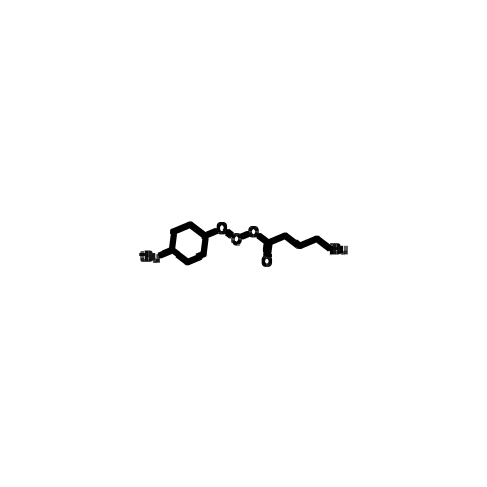 CCC(C)CCCC(=O)OOOC1CCC(C(C)(C)C)CC1